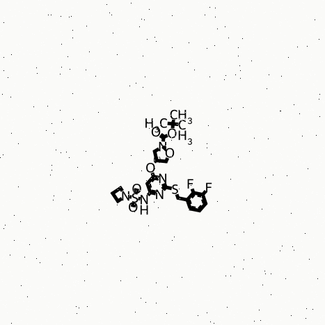 CC(C)(C)OC(=O)N1C[C@H](Oc2cc(NS(=O)(=O)N3CCC3)nc(SCc3cccc(F)c3F)n2)CO1